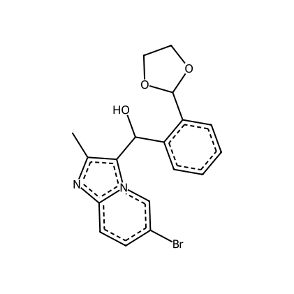 Cc1nc2ccc(Br)cn2c1C(O)c1ccccc1C1OCCO1